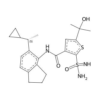 C[C@H](c1ccc2c(c1NC(=O)c1cc(C(C)(C)O)sc1S(=N)(N)=O)CCC2)C1CC1